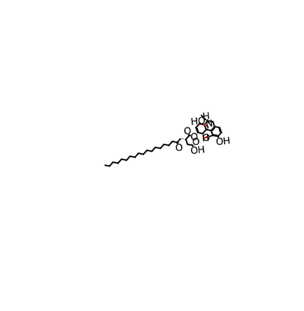 CCCCCCCCCCCCCCCCCC(=O)C[C@@H](CC(=O)O)C(=O)OC1=CC[C@@]2(O)[C@H]3Cc4ccc(O)c5c4[C@@]2(CCN3C)[C@H]1O5